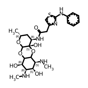 CN[C@@H]1[C@H](O)[C@H](NC)C2O[C@]3(O)C(OC2[C@@H]1O)O[C@H](C)C[C@H]3NC(=O)Cc1csc(Nc2ccccc2)n1